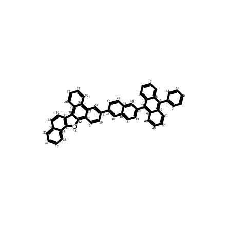 c1ccc(-c2c3ccccc3c(-c3ccc4cc(-c5ccc6c(c5)c5ccccc5c5c7ccc8ccccc8c7oc65)ccc4c3)c3ccccc23)cc1